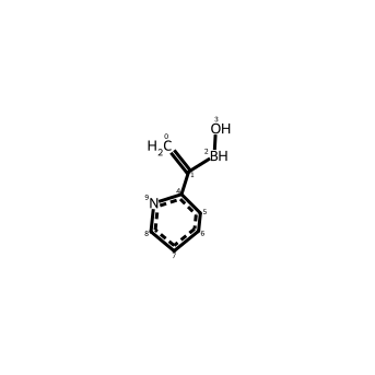 C=C(BO)c1ccccn1